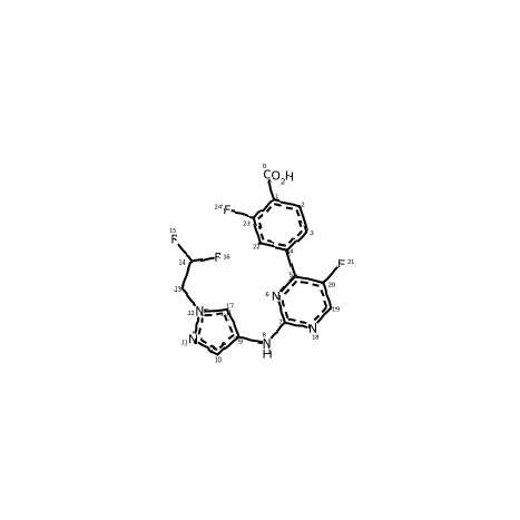 O=C(O)c1ccc(-c2nc(Nc3cnn(CC(F)F)c3)ncc2F)cc1F